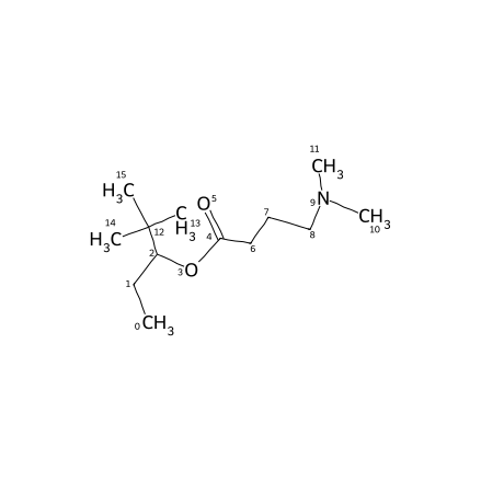 CCC(OC(=O)CCCN(C)C)C(C)(C)C